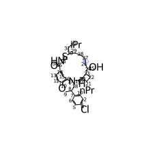 CCCc1cc(Cl)ccc1C1COc2ccc3cc2N(C1)C[C@@H]1CCC1C(O)/C=C/CCC(CC(C)C)SNC3=O